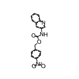 O=C(Nc1cnc2ccccc2c1)OCc1ccc([N+](=O)[O-])cc1